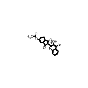 CC(=O)Oc1ccc2c(c1)C(=O)C(c1nc3ccccc3c(Br)c1O)=C2O